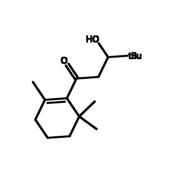 CC1=C(C(=O)CC(O)C(C)(C)C)C(C)(C)CCC1